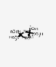 CCCCCCCCC([N]C(CCCCCCCC)(C(C)CC)S(=O)(=O)O)(C(C)CC)S(=O)(=O)O